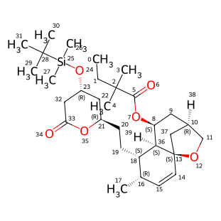 CCC(C)(C)C(=O)O[C@H]1C[C@H]2CO[C@]3(C=C[C@H](C)[C@H](CC[C@@H]4C[C@@H](O[Si](C)(C)C(C)(C)C)CC(=O)O4)[C@@H]13)C2